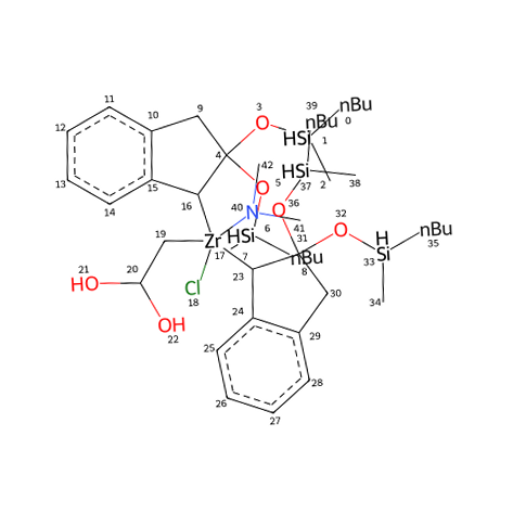 CCCC[SiH](C)OC1(O[SiH](C)CCCC)Cc2ccccc2[CH]1[Zr]([Cl])([CH2]C(O)O)([CH]1c2ccccc2CC1(O[SiH](C)CCCC)O[SiH](C)CCCC)[N](C)C